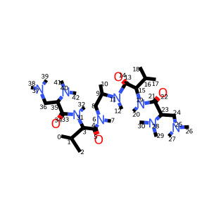 CC(C)C(C(=O)N(C)CC(C)N(C)C(=O)C(C(C)C)N(C)C(=O)C(CN(C)C)N(C)C)N(C)C(=O)C(CN(C)C)N(C)C